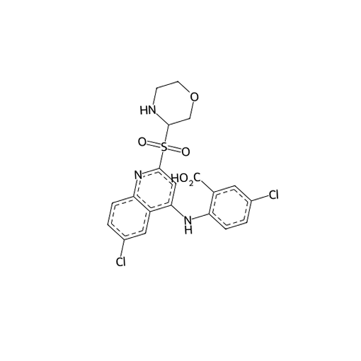 O=C(O)c1cc(Cl)ccc1Nc1cc(S(=O)(=O)C2COCCN2)nc2ccc(Cl)cc12